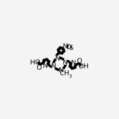 CN1CCN(Cc2cccc(C(=O)O)n2)CCN(Cc2ccc(N=C=S)cc2)CCN(Cc2cccc(C(=O)O)n2)CC1